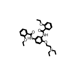 CCOc1ccccc1C(=O)Nc1ccc(OCCN(CC)CC)c(NC(=O)c2ccccc2OCC)c1